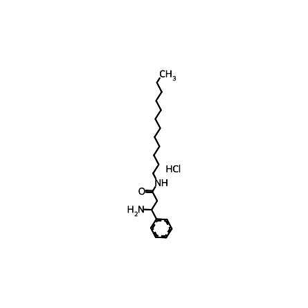 CCCCCCCCCCCCNC(=O)CC(N)c1ccccc1.Cl